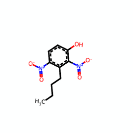 CCCCc1c([N+](=O)[O-])ccc(O)c1[N+](=O)[O-]